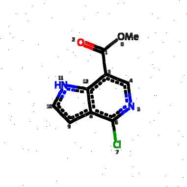 COC(=O)c1cnc(Cl)c2cc[nH]c12